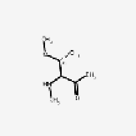 CNC(C(C)=O)[C@@H](C)OC